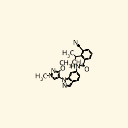 COc1nn(C)cc1-n1ncc2ccc(NC(=O)c3cccc(C#N)c3C(C)C)cc21